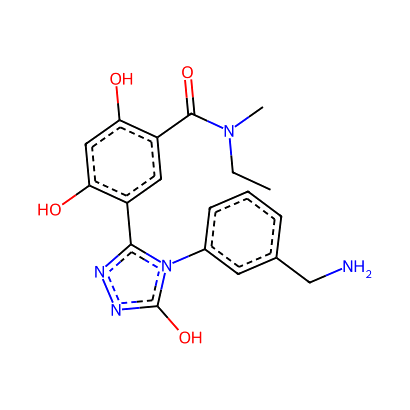 CCN(C)C(=O)c1cc(-c2nnc(O)n2-c2cccc(CN)c2)c(O)cc1O